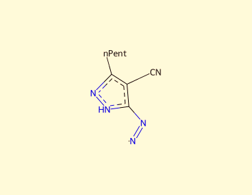 CCCCCc1n[nH]c(N=[N])c1C#N